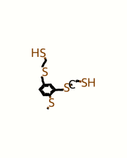 CSc1ccc(CSCCS)cc1CSCCS